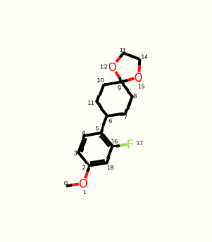 COc1ccc(C2CCC3(CC2)OCCO3)c(F)c1